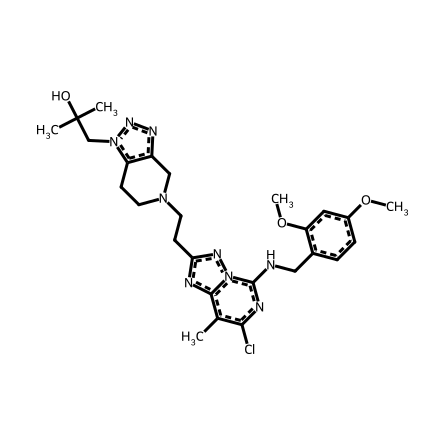 COc1ccc(CNc2nc(Cl)c(C)c3nc(CCN4CCc5c(nnn5CC(C)(C)O)C4)nn23)c(OC)c1